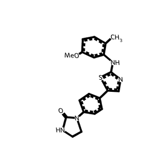 COc1ccc(C)c(Nc2ncc(-c3ccc(N4CCNC4=O)cc3)s2)c1